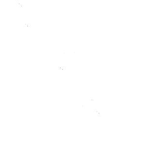 Nc1ccc(/C=C/C(=O)NCCC2[C@H]3CN(c4ccccc4)C[C@@H]23)cn1